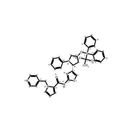 CC(C)(C)[Si](O[C@H]1C[C@H](c2csc(NC(=O)c3cccn3Cc3ccncc3)n2)N(c2ccccc2)C1)(c1ccccc1)c1ccccc1